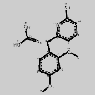 COc1ccc(Cc2ccnc(S)n2)c(OC)c1.O=C(O)O